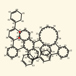 C1=CCCC(C2=CC=C(c3ccccc3-c3ccccccc(-c4c5ccccc5c(-c5ccccc5C5=CC=C(C6=CC=CCC6)CC5)c5ccccc45)c4ccccc34)CC2)=C1